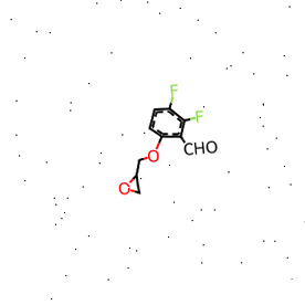 O=Cc1c(OCC2CO2)ccc(F)c1F